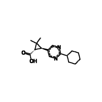 CC1(C)[C@@H](C(=O)O)[C@@H]1c1cnc(C2CCCCC2)nc1